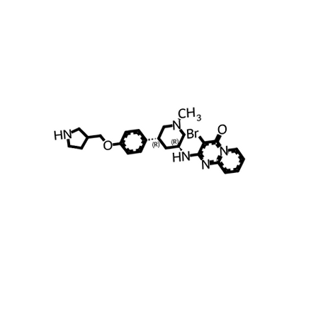 CN1C[C@H](Nc2nc3ccccn3c(=O)c2Br)C[C@H](c2ccc(OCC3CCNC3)cc2)C1